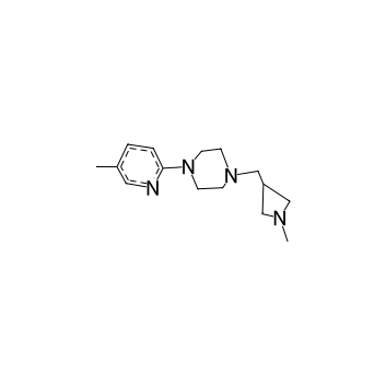 Cc1ccc(N2CCN(CC3CN(C)C3)CC2)nc1